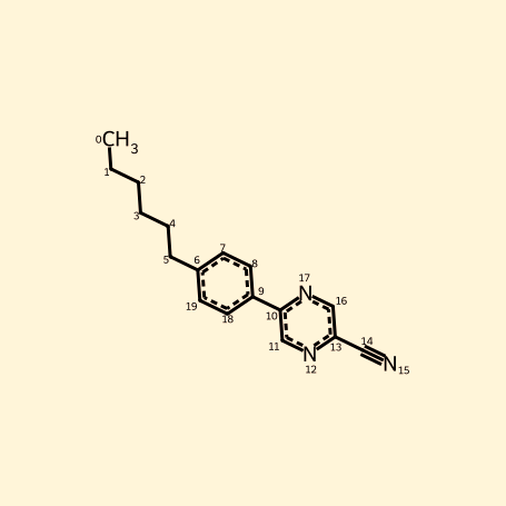 CCCCCCc1ccc(-c2cnc(C#N)cn2)cc1